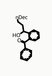 CCCCCCCCCCCCC(O)c1ccccc1C(=O)c1ccccc1